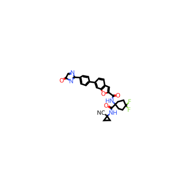 N#CC1(NC(=O)C2(NC(=O)c3cc4ccc(-c5ccc(C6=NC(=O)C=N6)cc5)cc4o3)CCC(F)(F)CC2)CC1